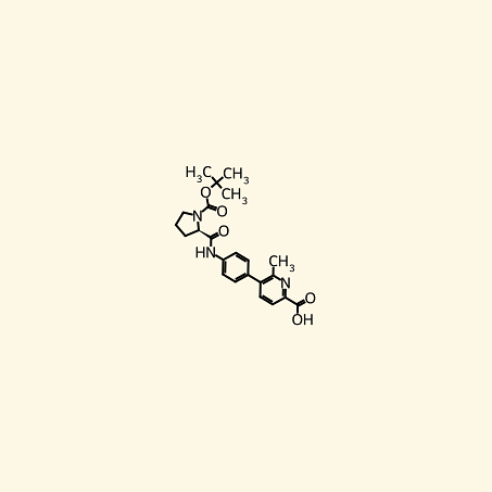 Cc1nc(C(=O)O)ccc1-c1ccc(NC(=O)[C@H]2CCCN2C(=O)OC(C)(C)C)cc1